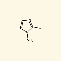 Cc1nccn1[SiH3]